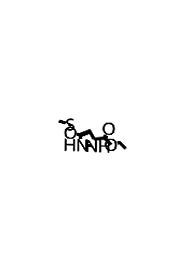 CCOC(=O)C1C=C(OSC)NN1